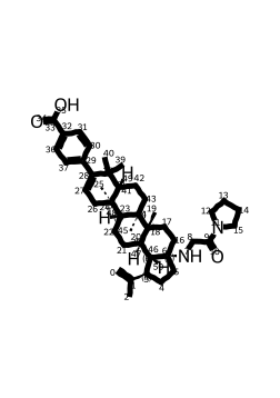 C=C(C)[C@@H]1CC[C@]2(NCC(=O)N3CCCC3)CC[C@]3(C)[C@H](CC[C@@H]4[C@@]5(C)CC=C(c6ccc(C(=O)O)cc6)C(C)(C)[C@@H]5CC[C@]43C)[C@@H]12